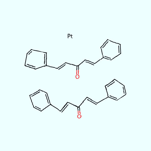 O=C(C=Cc1ccccc1)C=Cc1ccccc1.O=C(C=Cc1ccccc1)C=Cc1ccccc1.[Pt]